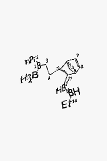 BB(CCC)CCC1C2C=CC(C2)C1BBCC